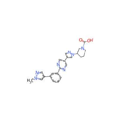 Cn1cc(-c2cccc(-c3ncc(-c4cnn(C5CCCN(C(=O)O)C5)c4)cn3)c2)cn1